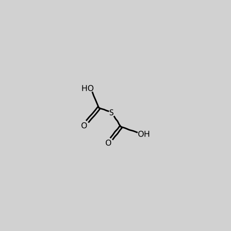 O=C(O)SC(=O)O